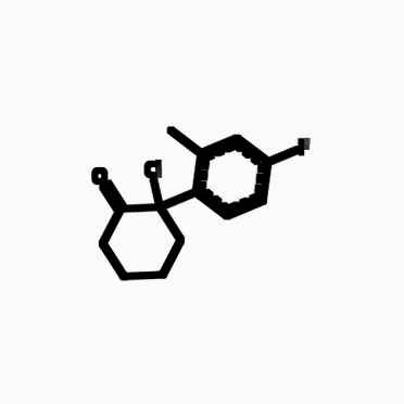 Cc1cc(F)ccc1C1(Cl)CCCCC1=O